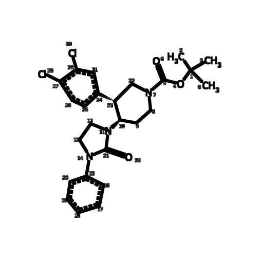 CC(C)(C)OC(=O)N1CC[C@@H](N2CCN(c3ccccc3)C2=O)[C@H](c2ccc(Cl)c(Cl)c2)C1